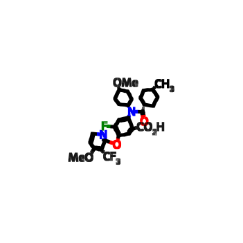 COc1ccnc(Oc2cc(C(=O)O)c(N(C(=O)[C@H]3CC[C@H](C)CC3)[C@H]3CC[C@H](OC)CC3)cc2F)c1C(F)(F)F